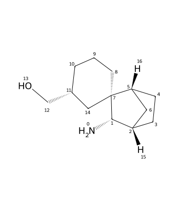 N[C@H]1[C@H]2CC[C@H](C2)[C@@]12CCC[C@@H](CO)C2